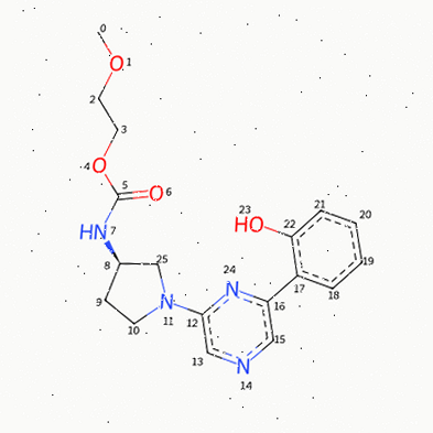 COCCOC(=O)N[C@@H]1CCN(c2cncc(-c3ccccc3O)n2)C1